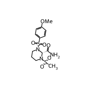 COc1ccc(S(=O)(=O)N2CCCN(S(C)(=O)=O)[C@H]2C(N)=O)cc1